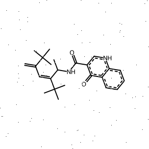 C=C(/C=C(\C(C)NC(=O)c1c[nH]c2ccccc2c1=O)C(C)(C)C)C(C)(C)C